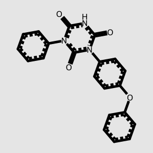 O=c1[nH]c(=O)n(-c2ccc(Oc3ccccc3)cc2)c(=O)n1-c1ccccc1